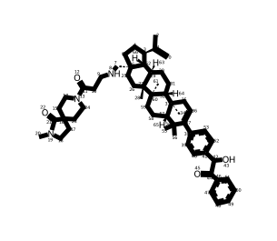 C=C(C)[C@@H]1CC[C@]2(CNCCC(=O)N3CCC4(CCN(C)C4=O)CC3)CC[C@]3(C)[C@H](CC[C@@H]4[C@@]5(C)CC=C(c6ccc(C(O)C(=O)c7ccccc7)cc6)C(C)(C)[C@@H]5CC[C@]43C)[C@@H]12